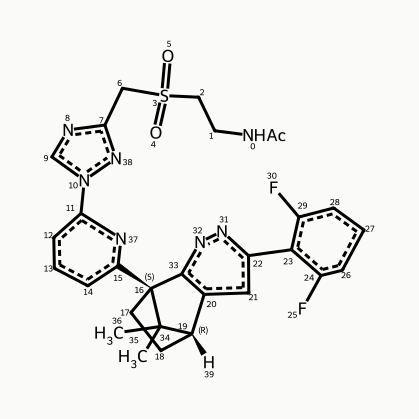 CC(=O)NCCS(=O)(=O)Cc1ncn(-c2cccc([C@@]34CC[C@@H](c5cc(-c6c(F)cccc6F)nnc53)C4(C)C)n2)n1